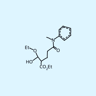 CCOC(=O)C(CCC(=O)N(C)c1ccccc1)C(O)OCC